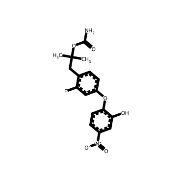 CC(C)(Cc1ccc(Oc2ccc([N+](=O)[O-])cc2O)cc1F)OC(N)=O